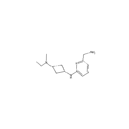 CCN(C)C1CC(Nc2cccc(CN)n2)C1